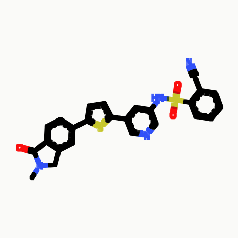 CN1Cc2cc(-c3ccc(-c4cncc(NS(=O)(=O)c5ccccc5C#N)c4)s3)ccc2C1=O